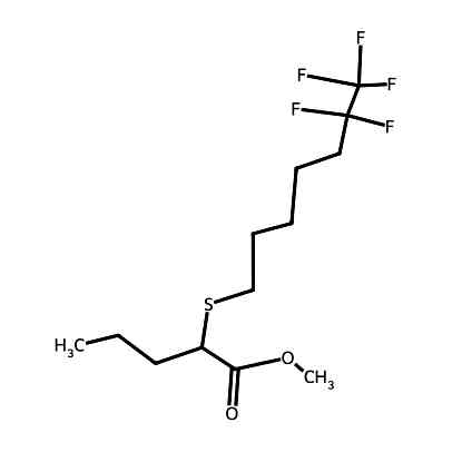 CCCC(SCCCCCC(F)(F)C(F)(F)F)C(=O)OC